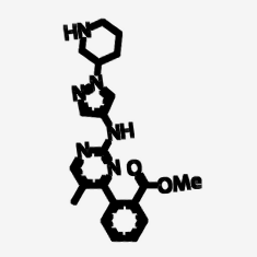 COC(=O)c1ccccc1-c1nc(Nc2cnn(C3CCCNC3)c2)ncc1C